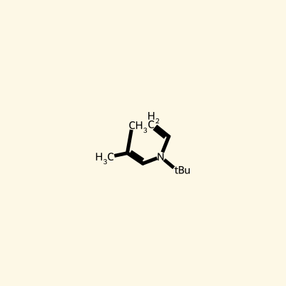 C=CN(C=C(C)C)C(C)(C)C